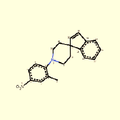 Cc1cc([N+](=O)[O-])ccc1N1CCC2(C=Cc3ccccc32)CC1